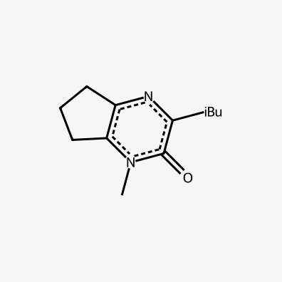 CCC(C)c1nc2c(n(C)c1=O)CCC2